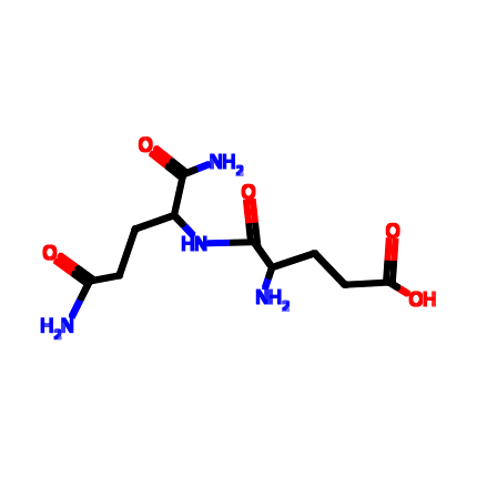 NC(=O)CCC(NC(=O)C(N)CCC(=O)O)C(N)=O